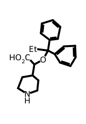 CCC(OC(C(=O)O)C1CCNCC1)(c1ccccc1)c1ccccc1